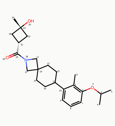 Cc1c(OC(C)C)cccc1C1CCC2(CC1)CN(C(=O)[C@H]1C[C@@](C)(O)C1)C2